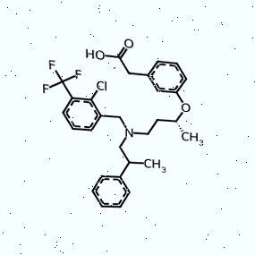 CC(CN(CC[C@@H](C)Oc1cccc(CC(=O)O)c1)Cc1cccc(C(F)(F)F)c1Cl)c1ccccc1